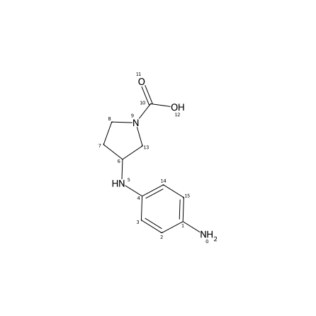 Nc1ccc(NC2CCN(C(=O)O)C2)cc1